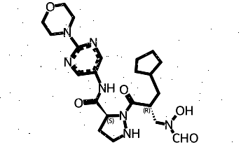 O=CN(O)C[C@@H](CC1CCCC1)C(=O)N1NCC[C@H]1C(=O)Nc1cnc(N2CCOCC2)nc1